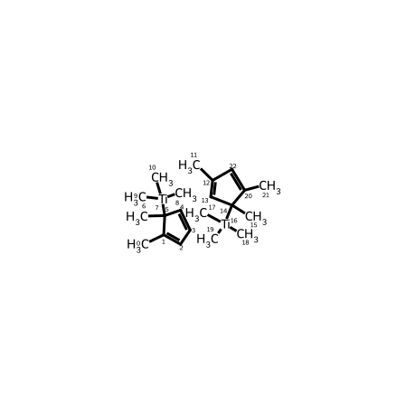 CC1=CC=C[C]1(C)[Ti]([CH3])([CH3])[CH3].CC1=C[C](C)([Ti]([CH3])([CH3])[CH3])C(C)=C1